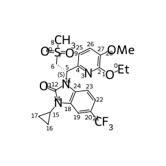 CCOc1nc([C@@H](CS(C)(=O)=O)n2c(=O)n(C3CC3)c3cc(C(F)(F)F)ccc32)ccc1OC